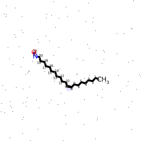 CCCCCCCC/C=C\CCCCCCCCCCCN=O